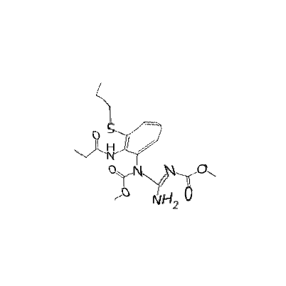 CCCSc1cccc(N(C(=O)OC)C(N)=NC(=O)OC)c1NC(=O)CC